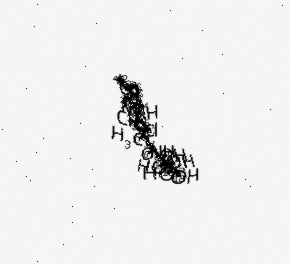 CC(CCCC(=O)NCC(O)C(O)C(O)C(O)CO)c1cc(Cl)c(CNC2(c3cnccc3-c3ccccc3OC3CC3)CC2)cc1Cl